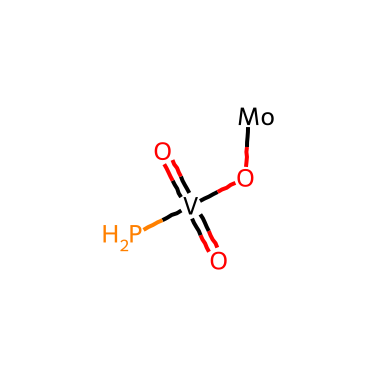 [O]=[V](=[O])([PH2])[O][Mo]